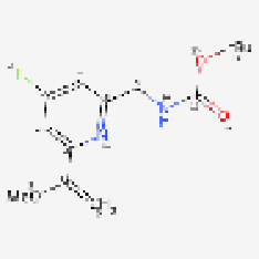 C=C(OC)c1cc(F)cc(CNC(=O)OC(C)(C)C)n1